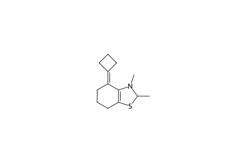 CC1SC2=C(C(=C3CCC3)CCC2)N1C